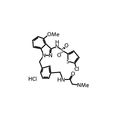 CNCC(=O)NCc1cccc(Cn2nc(NS(=O)(=O)c3ccc(Cl)s3)c3c(OC)cccc32)c1.Cl